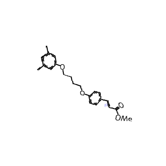 COC(=O)/C=C/c1ccc(OCCCCOc2cc(C)cc(C)c2)cc1